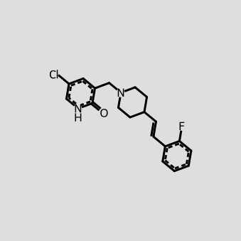 O=c1[nH]cc(Cl)cc1CN1CCC(C=Cc2ccccc2F)CC1